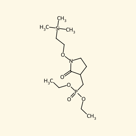 CCOP(=O)(CC1CCN(OCC[Si](C)(C)C)C1=O)OCC